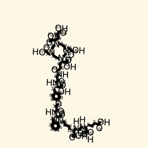 O=C(O)CCC[C@H](NC(=O)N[C@@H](CCCCNC(=O)[C@H](Cc1ccccc1)NC(=O)COc1ccc(C[C@H](NC(=O)CNC(=O)CCC(C(=O)O)N2CCN(CC(=O)O)CCN(C(CCC(=O)O)C(=O)O)CCN(CC(=O)O)CC2)C(=O)O)cc1)C(=O)O)C(=O)O